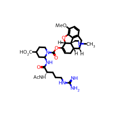 COc1ccc2c3c1O[C@H]1C(OC(=O)N4CCC(C(=O)O)CC4NC(=O)[C@H](CCCNC(=N)N)NC(C)=O)=CC[C@H]4[C@@H](C2)N(C)CC[C@]314